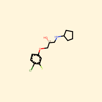 O[C@H](CNC1CCCC1)COc1ccc(Cl)c(F)c1